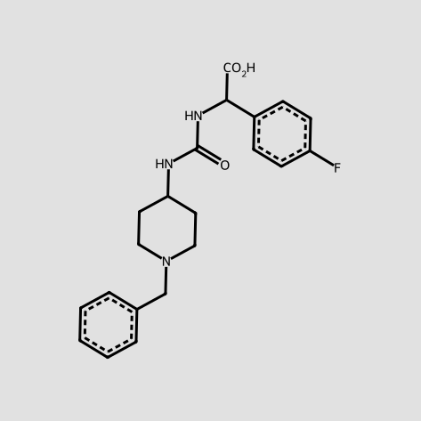 O=C(NC1CCN(Cc2ccccc2)CC1)NC(C(=O)O)c1ccc(F)cc1